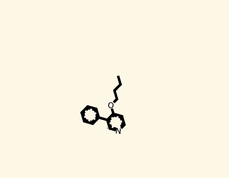 CCCCOc1ccn[c]c1-c1ccccc1